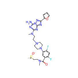 CN(CC[S@+](C)[O-])C(=O)c1cc(N2CCN(CCN(C)c3nc(N)n4nc(-c5ccco5)nc4n3)CC2)c(F)cc1F